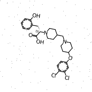 O=C(O)[C@H](Cc1ccccc1O)N1CCC(CN2CCC(Oc3ccc(Cl)c(Cl)c3)CC2)CC1